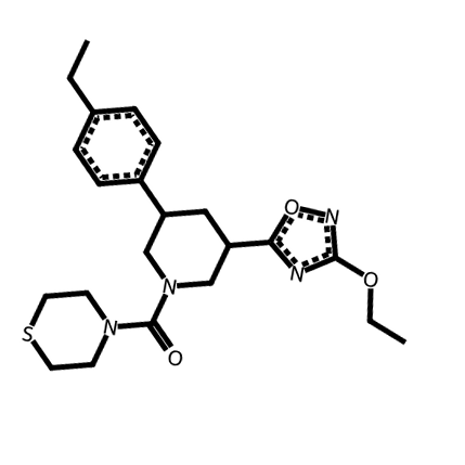 CCOc1noc(C2CC(c3ccc(CC)cc3)CN(C(=O)N3CCSCC3)C2)n1